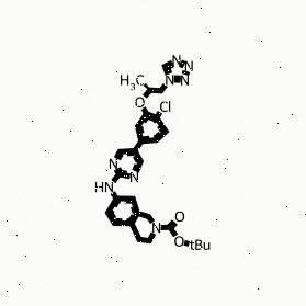 C[C@@H](Cn1cnnn1)Oc1cc(-c2cnc(Nc3ccc4c(c3)CN(C(=O)OC(C)(C)C)CC4)nc2)ccc1Cl